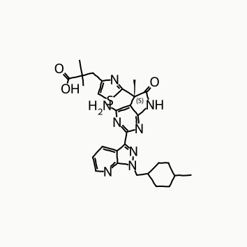 CC1CCC(Cn2nc(-c3nc(N)c4c(n3)NC(=O)[C@@]4(C)c3nc(CC(C)(C)C(=O)O)cs3)c3cccnc32)CC1